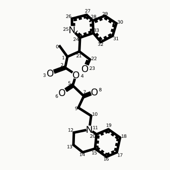 CC(C(=O)OC(=O)C(=O)CCN1CCCc2ccccc21)C(C=O)c1nccc2ccccc12